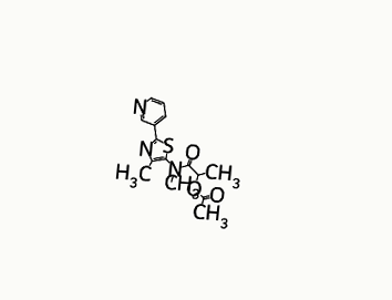 CC(=O)OC(C)C(=O)N(C)c1sc(-c2cccnc2)nc1C